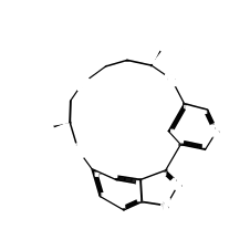 C[C@@H]1CCOC[C@H](C)Oc2ccc3[nH]nc(c3c2)-c2cncc(c2)O1